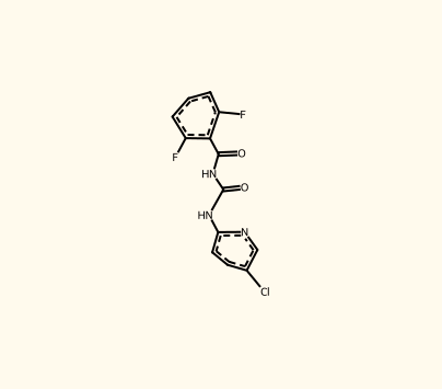 O=C(NC(=O)c1c(F)cccc1F)Nc1ccc(Cl)cn1